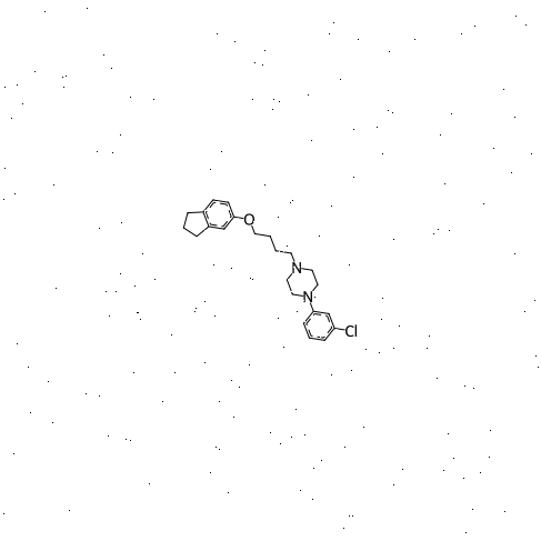 Clc1cccc(N2CCN(CCCCOc3ccc4c(c3)CCC4)CC2)c1